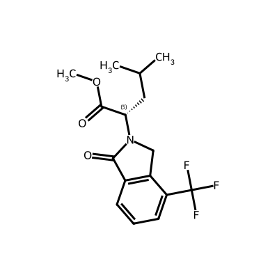 COC(=O)[C@H](CC(C)C)N1Cc2c(cccc2C(F)(F)F)C1=O